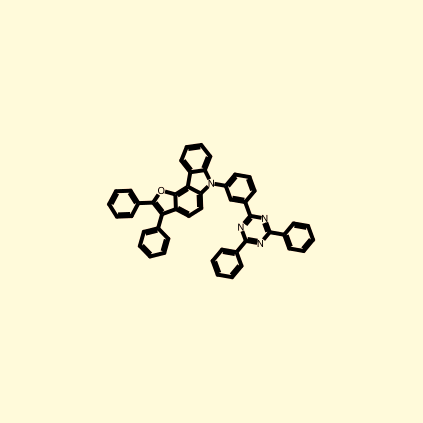 c1ccc(-c2nc(-c3ccccc3)nc(-c3cccc(-n4c5ccccc5c5c6oc(-c7ccccc7)c(-c7ccccc7)c6ccc54)c3)n2)cc1